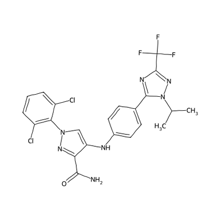 CC(C)n1nc(C(F)(F)F)nc1-c1ccc(Nc2cn(-c3c(Cl)cccc3Cl)nc2C(N)=O)cc1